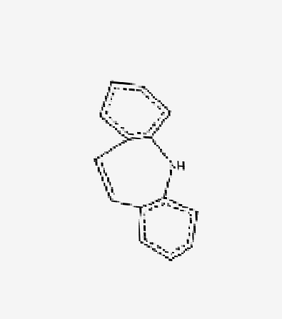 [c]1cccc2c1C=Cc1ccccc1N2